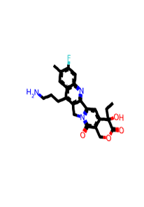 CCC1(O)C(=O)OCc2c1cc1n(c2=O)Cc2c-1nc1cc(F)c(C)cc1c2CCCN